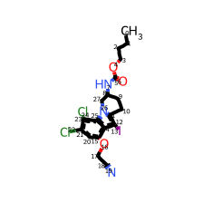 CCCCOC(=O)NC1CCc2c(I)c3c(OCC#N)cc(Cl)c(Cl)c3n2C1